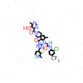 CC1=CC2(CCN(C(=O)c3ncnc(C)c3O)CC2)c2c1n(CC(=O)Nc1ccc(C(F)(F)F)cc1Cl)c1nc(-c3ccnc(C)c3F)nn1c2=O